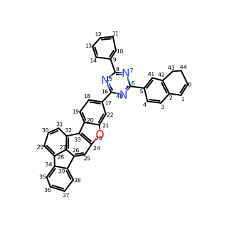 C1=Cc2ccc(-c3nc(-c4ccccc4)nc(-c4ccc5c(c4)oc4cc6c7c(cccc7c45)-c4ccccc4-6)n3)cc2CC1